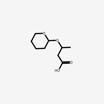 CC(CC(=O)O)OC1CCCCO1